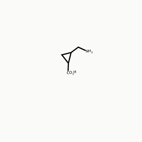 NCC1CC1C(=O)O